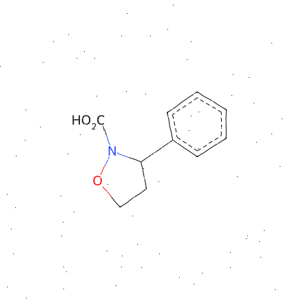 O=C(O)N1OCCC1c1ccccc1